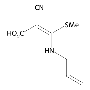 C=CCN/C(SC)=C(/C#N)C(=O)O